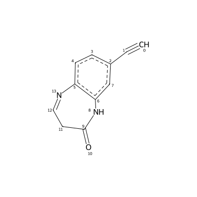 C#Cc1ccc2c(c1)NC(=O)CC=N2